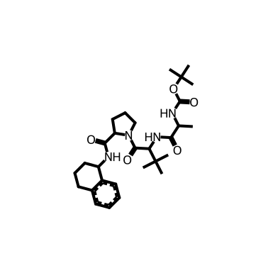 CC(NC(=O)OC(C)(C)C)C(=O)NC(C(=O)N1CCCC1C(=O)NC1CCCc2ccccc21)C(C)(C)C